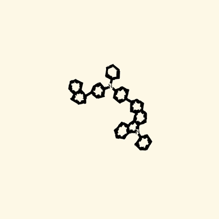 C1=CC(N(c2ccc(-c3ccc4ccc5c(c4c3)c3ccccc3n5-c3ccccc3)cc2)c2ccc(-c3cccc4ccccc34)cc2)=CCC1